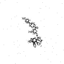 N#Cc1ccc(N2CCN(C(=O)[C@@H]3CNC[C@@H](OC[C@@H]4CCCN4c4cn[nH]c(=O)c4C(F)(F)F)C3)CC2)nc1